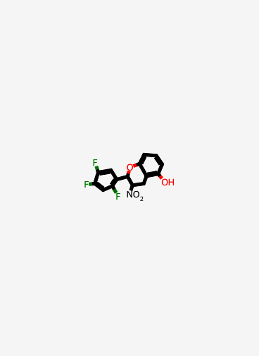 O=[N+]([O-])C1Cc2c(O)cccc2OC1c1cc(F)c(F)cc1F